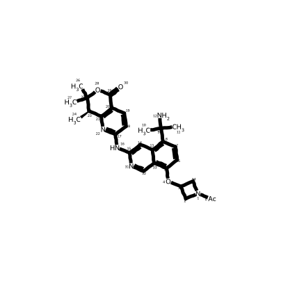 CC(=O)N1CC(Oc2ccc(C(C)(C)N)c3cc(Nc4ccc5c(n4)[C@@H](C)C(C)(C)OC5=O)ncc23)C1